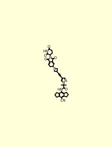 CC(C)(C(=O)Nc1c2c(c(C#N)c3c1CCC3)CCC2)n1cc(C#CC2CN(C3C=C4C(=O)N(C5CCC(=O)NC5=O)C(=O)C4=CC3)C2)cn1